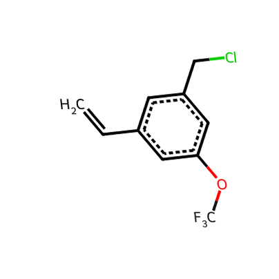 C=Cc1cc(CCl)cc(OC(F)(F)F)c1